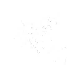 CCC(C)(C)n1cc(C[C@H]2O[C@@H]3COC(C)(C)O[C@@H]3[C@H](n3cc(-c4ccc(Cl)c(F)c4F)nn3)[C@H]2OC)nn1